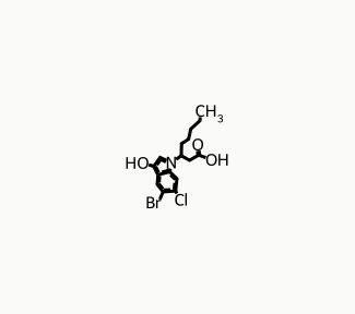 CCCCCC(CC(=O)O)n1cc(O)c2cc(Br)c(Cl)cc21